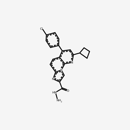 NNC(=O)c1cn2c(ccc3c(-c4ccc(Cl)cc4)cc(C4CCC4)nc32)n1